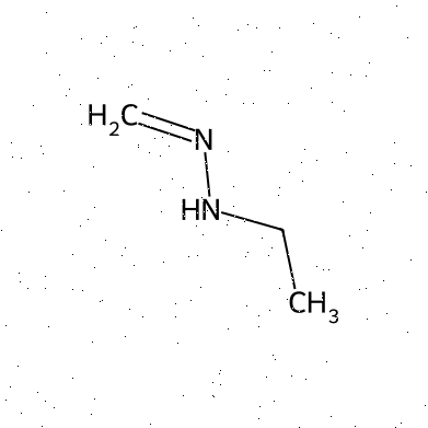 C=NNCC